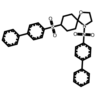 O=S(=O)(c1ccc(-c2ccccc2)cc1)C1CCC2(CC1)OCCN2S(=O)(=O)c1ccc(-c2ccccc2)cc1